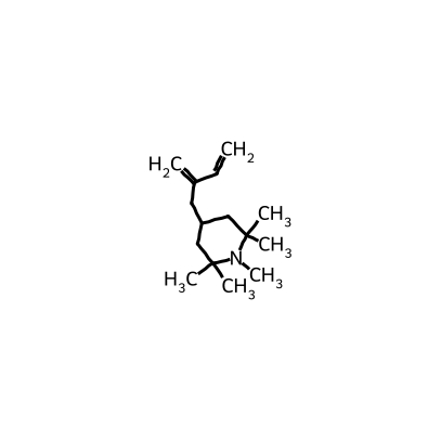 C=CC(=C)CC1CC(C)(C)N(C)C(C)(C)C1